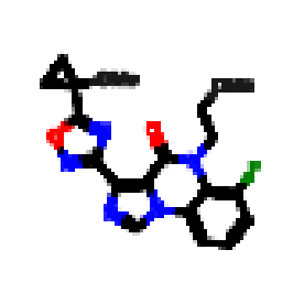 COCCn1c(=O)c2c(-c3noc(C4(OC)CC4)n3)ncn2c2cccc(F)c21